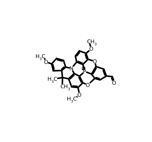 COc1ccc2c(c1)C(C)(C)c1cc(OC)c3c4c1N2c1ccc(OC)c2c1P4(=O)c1c(cc(C=O)cc1O3)O2